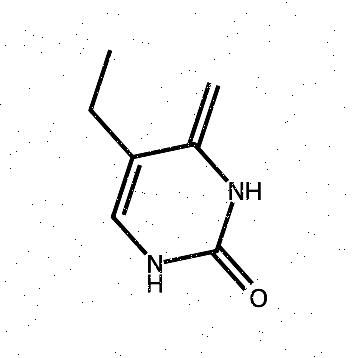 C=C1NC(=O)NC=C1CC